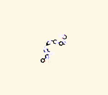 O=C1CCC(n2ncc3ccc(N4CCC(CN5C[C@@H]6[C@H](C5)[C@@H]6CN5CCN6c7cc(-c8ccccc8O)nnc7NC[C@H]6C5)CC4)cc32)C(=O)N1